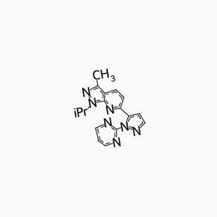 Cc1nn(C(C)C)c2nc(-c3ccnn3-c3ncccn3)ccc12